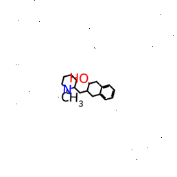 CN1CCCCC1CC1Cc2ccccc2CC1O